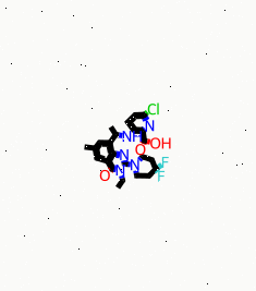 CCn1c(N2CCC(F)(F)CC2)nc2c(C(C)Nc3ccc(Cl)nc3C(=O)O)cc(C)cc2c1=O